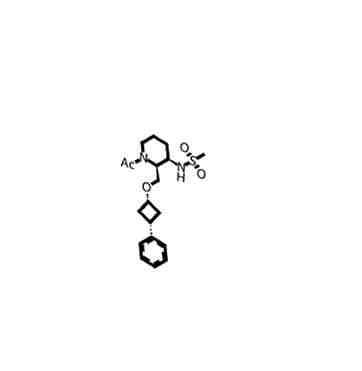 CC(=O)N1CCC[C@@H](NS(C)(=O)=O)[C@H]1CO[C@H]1C[C@@H](c2ccccc2)C1